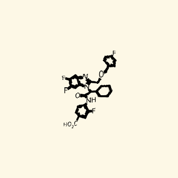 O=C(O)c1ccc(NC(=O)C(C2CCCCC2)n2c(COCc3ccc(F)cc3)nc3cc(F)c(F)cc32)c(F)c1